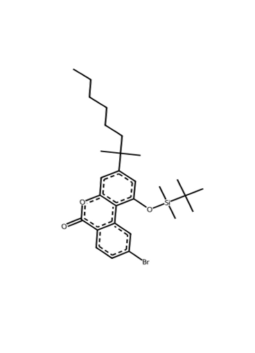 CCCCCCC(C)(C)c1cc(O[Si](C)(C)C(C)(C)C)c2c(c1)oc(=O)c1ccc(Br)cc12